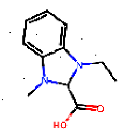 CCN1c2ccccc2N(C)C1C(=O)O